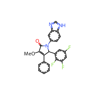 COC1=C(c2ccccc2)C(c2cc(F)cc(F)c2F)N(c2ccc3[nH]cnc3c2)C1=O